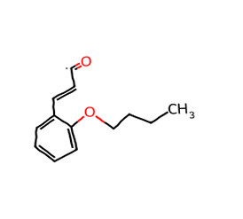 CCCCOc1ccccc1C=C[C]=O